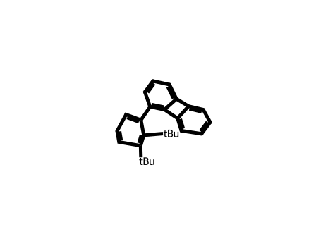 CC(C)(C)c1cccc(-c2cccc3c2-c2ccccc2-3)c1C(C)(C)C